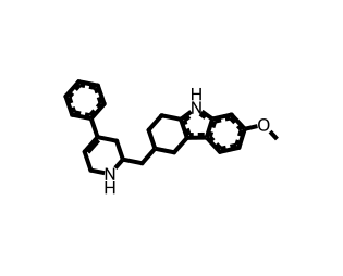 COc1ccc2c3c([nH]c2c1)CCC(CC1CC(c2ccccc2)=CCN1)C3